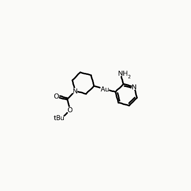 CC(C)(C)OC(=O)N1CCC[CH]([Au][c]2cccnc2N)C1